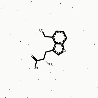 CCc1cccc2[nH]cc(C[C@H](N)C(=O)O)c12